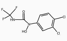 O=C(NC(F)(F)F)N(O)c1ccc(Cl)c(Cl)c1